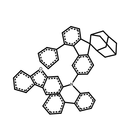 c1ccc(-c2ccccc2N(c2ccc3c(c2)-c2c(-c4ccccc4)cccc2C32C3CC4CC(C3)CC2C4)c2ccc3c(c2)oc2ccccc23)cc1